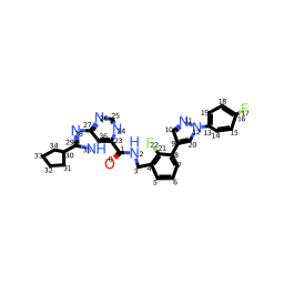 O=C(NCc1cccc(-c2cnn(-c3ccc(F)cc3)c2)c1F)c1ncnc2nc(C3CCCC3)[nH]c12